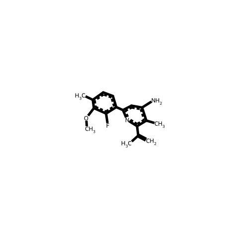 C=C(C)c1nc(-c2ccc(C)c(OC)c2F)cc(N)c1C